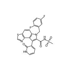 CS(=O)(=O)NC(=O)c1c(-c2ccc[nH]c2=O)c2c3ncsc3ccc2n1Cc1cc(F)ccc1F